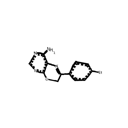 CCc1ccc(C2=Nc3c(N)ncnc3OC2)cc1